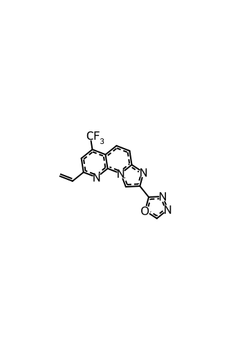 C=Cc1cc(C(F)(F)F)c2ccc3nc(-c4nnco4)cn3c2n1